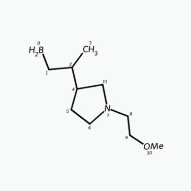 BCC(C)C1CCN(CCOC)C1